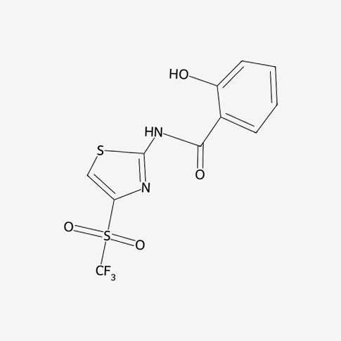 O=C(Nc1nc(S(=O)(=O)C(F)(F)F)cs1)c1ccccc1O